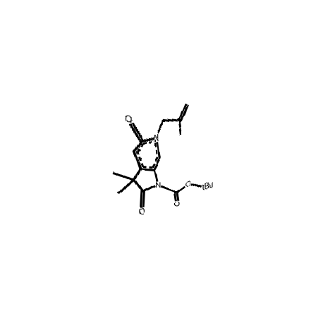 C=C(C)Cn1cc2c(cc1=O)C(C)(C)C(=O)N2C(=O)OC(C)(C)C